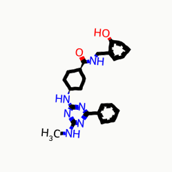 CNc1nc(N[C@H]2CC[C@H](C(=O)NCc3ccccc3O)CC2)nc(-c2ccccc2)n1